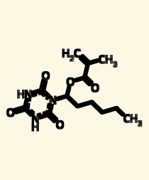 C=C(C)C(=O)OC(CCCCC)n1c(=O)[nH]c(=O)[nH]c1=O